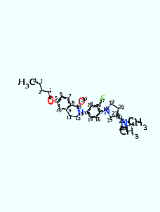 CCCCOc1ccc2c(c1)CCN(c1ccc(N3CC[C@@H](N(C)C)C3)c(F)c1)C2=O